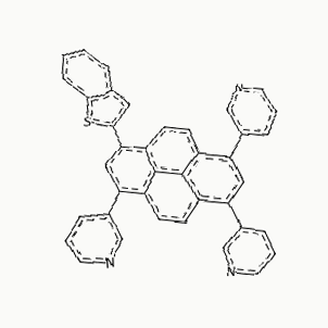 c1cncc(-c2cc(-c3cccnc3)c3ccc4c(-c5cc6ccccc6s5)cc(-c5cccnc5)c5ccc2c3c54)c1